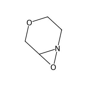 C1CN2OC2CO1